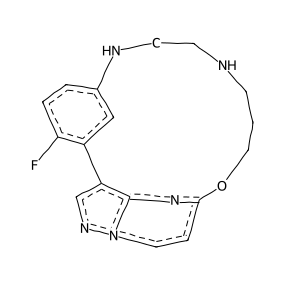 Fc1ccc2cc1-c1cnn3ccc(nc13)OCCCNCCN2